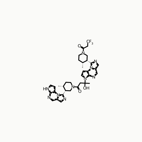 C[C@@H]1CCN(C(=O)CC(C)(O)n2ccc3c2ncc2cnc([C@H]4CN(C(=O)CC(F)(F)F)CC[C@H]4C)n23)C[C@@H]1c1ncc2cnc3[nH]ccc3n12